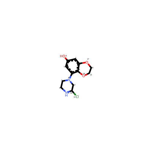 Oc1cc2c(c(N3CCNC(Cl)C3)c1)OCCO2